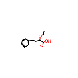 CCOC(CCc1ccccc1)C(=O)O